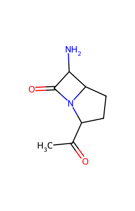 CC(=O)C1CCC2C(N)C(=O)N12